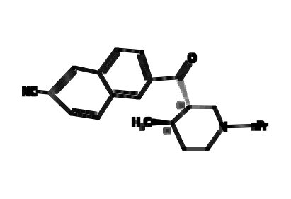 CCCN1CC[C@@H](C)[C@H](C(=O)c2ccc3cc(C#N)ccc3c2)C1